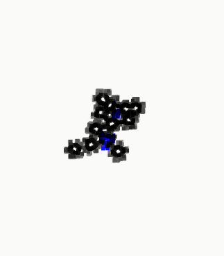 c1ccc(-c2ccc(-c3nc(-c4ccccc4)nc(-c4cc(-c5ccccc5)c(-n5c6cc7ccccc7cc6c6cc7ccccc7cc65)c(-c5ccccc5)c4-c4ccccc4)n3)cc2)cc1